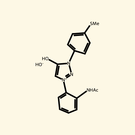 CSc1ccc(-n2n[n+](-c3ccccc3NC(C)=O)cc2O)cc1.[OH-]